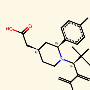 C=C(C)C(=C)[C@@H](N1CC[C@@H](CC(=O)O)C[C@H]1c1ccc(C)cc1)C(C)(C)C